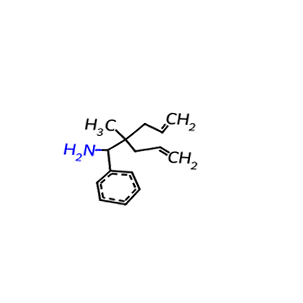 C=CCC(C)(CC=C)C(N)c1ccccc1